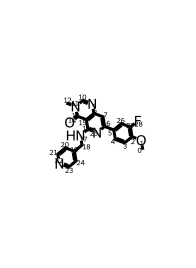 COc1ccc(-c2cc3ncn(C)c(=O)c3c(NCc3ccncc3)n2)cc1F